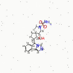 NS(=O)(=O)N1CCC2(CCC(C3c4ccccc4-c4cncn43)C2O)CC1